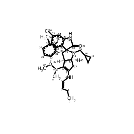 CC/C=C\NC1=C(N(C)OC)[C@@H]2[C@H](C1)N(CC1CC1)[C@@]1(C(=O)Nc3cc(Cl)ccc31)[C@H]2c1cccc(C)c1F